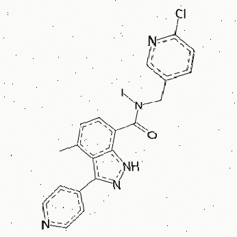 Cc1ccc(C(=O)N(I)Cc2ccc(Cl)nc2)c2[nH]nc(-c3ccncc3)c12